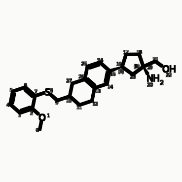 COc1ccccc1SCC1CCc2cc([C@H]3CC[C@](N)(CO)C3)ccc2C1